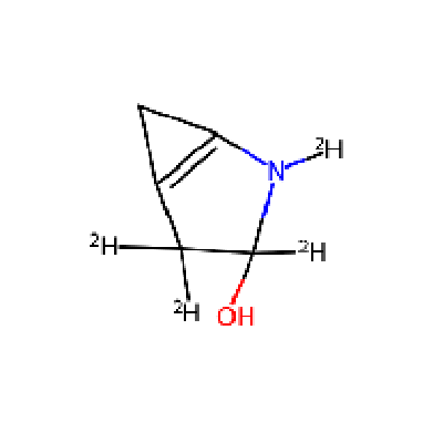 [2H]N1C2=C(C2)C([2H])([2H])C1([2H])O